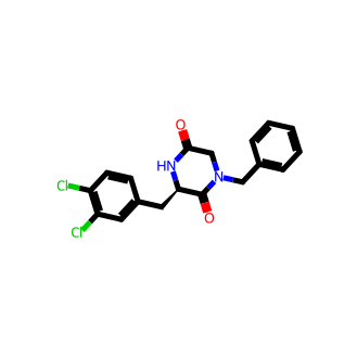 O=C1CN(Cc2ccccc2)C(=O)[C@@H](Cc2ccc(Cl)c(Cl)c2)N1